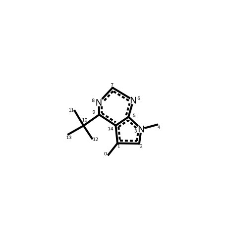 Cc1cn(C)c2ncnc(C(C)(C)C)c12